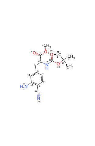 COC(=O)C(Cc1ccc(C#N)c(N)c1)NC(=O)OC(C)(C)C